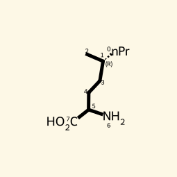 CCC[C@@H](C)CCC(N)C(=O)O